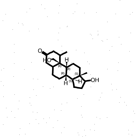 CC1CC(=O)CC2CC[C@@H]3[C@@H](CC[C@]4(C)C(O)CC[C@@H]34)[C@@]12CO